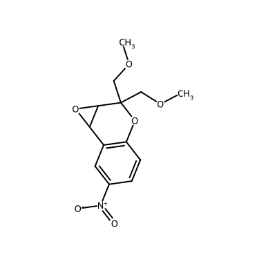 COCC1(COC)Oc2ccc([N+](=O)[O-])cc2C2OC21